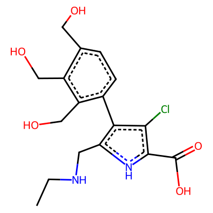 CCNCc1[nH]c(C(=O)O)c(Cl)c1-c1ccc(CO)c(CO)c1CO